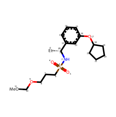 CC[C@@H](NS(=O)(=O)CCCOCOC)c1cccc(OC2CCCC2)c1